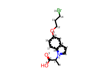 CC(C(=O)O)n1ccc2cc(OCCCBr)ccc21